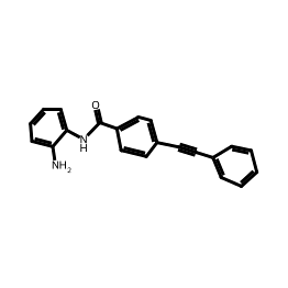 Nc1ccccc1NC(=O)c1ccc(C#Cc2ccccc2)cc1